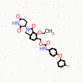 CCOc1c(COC(=O)Nc2ccc(Oc3cccc(F)c3)cc2)ccc2c1C(=O)N(C1CCC(=O)NC1=O)C2